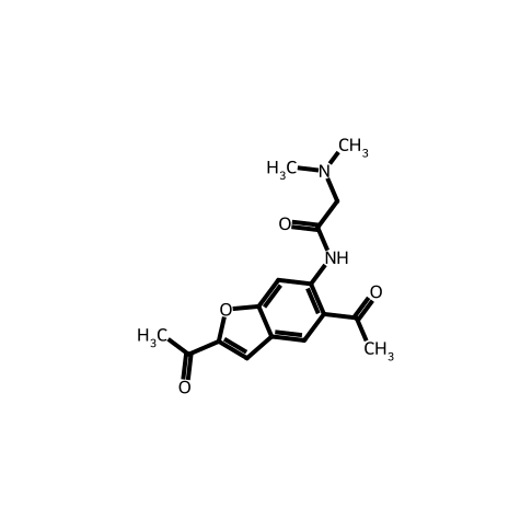 CC(=O)c1cc2cc(C(C)=O)c(NC(=O)CN(C)C)cc2o1